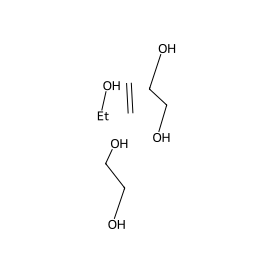 C=C.CCO.OCCO.OCCO